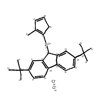 CC1=[C]([Zr+2][CH]2c3cc(C(C)(C)C)ccc3-c3ccc(C(C)(C)C)cc32)CC=C1.[Cl-].[Cl-]